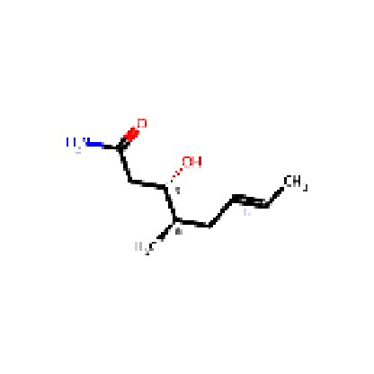 C/C=C/C[C@@H](C)[C@@H](O)CC(N)=O